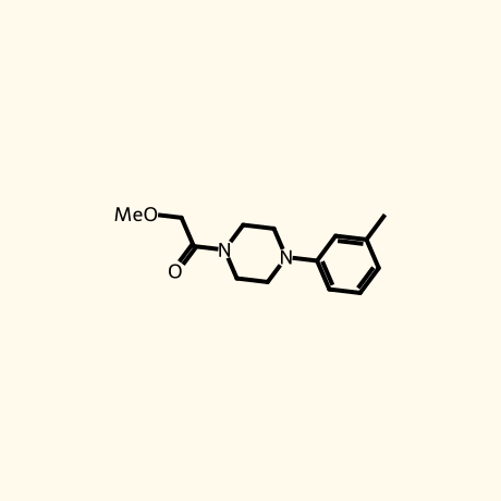 COCC(=O)N1CCN(c2cccc(C)c2)CC1